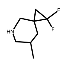 CC1CNCC2(C1)CC2(F)F